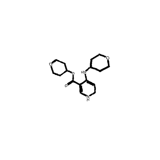 O=C(OC1CCOCC1)C1=CNCC=C1NC1CCOCC1